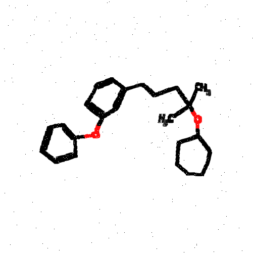 CC(C)(CCCc1cccc(Oc2ccccc2)c1)OC1CCCCC1